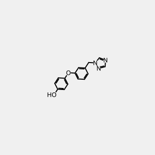 Oc1ccc(Oc2cccc(Cn3cncn3)c2)cc1